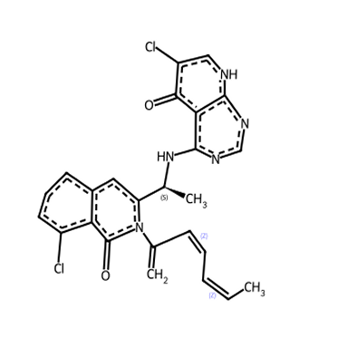 C=C(/C=C\C=C/C)n1c([C@H](C)Nc2ncnc3[nH]cc(Cl)c(=O)c23)cc2cccc(Cl)c2c1=O